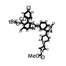 COC(=O)N1CC(N2CCC(c3nn(C)c4ccc(-c5nc6cc(C)c(C(OC(C)(C)C)C(=O)O)c(-c7ccc(Cl)cc7)c6s5)cc34)CC2)C1